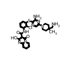 CC1(CN)CCN(c2cnc(Sc3cccc(NC(=O)c4c(O)nc5ccccn5c4=O)c3Cl)c(N)n2)CC1